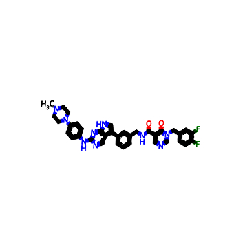 CN1CCN(c2ccc(Nc3ncc4c(-c5cccc(CNC(=O)c6cncn(Cc7ccc(F)c(F)c7)c6=O)c5)c[nH]c4n3)cc2)CC1